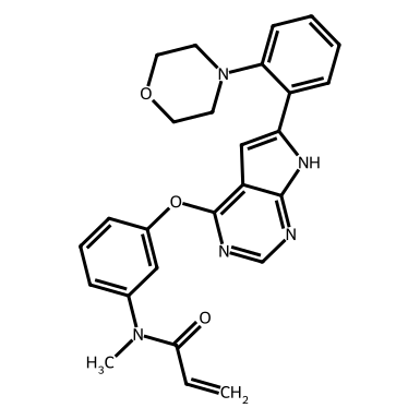 C=CC(=O)N(C)c1cccc(Oc2ncnc3[nH]c(-c4ccccc4N4CCOCC4)cc23)c1